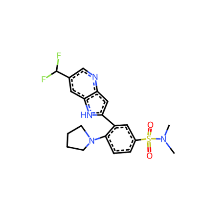 CN(C)S(=O)(=O)c1ccc(N2CCCC2)c(-c2cc3ncc(C(F)F)cc3[nH]2)c1